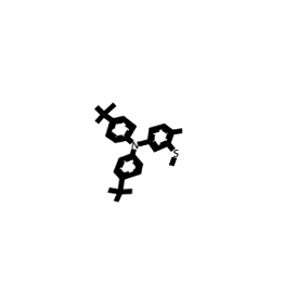 CSc1cc(N(c2ccc(C(C)(C)C)cc2)c2ccc(C(C)(C)C)cc2)ccc1C